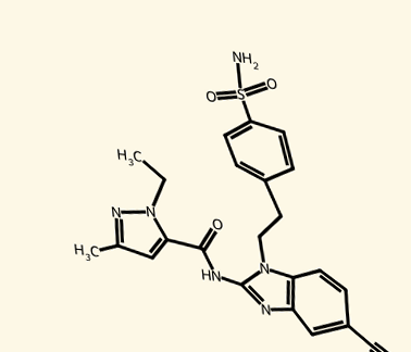 CCn1nc(C)cc1C(=O)Nc1nc2cc(C#N)ccc2n1CCc1ccc(S(N)(=O)=O)cc1